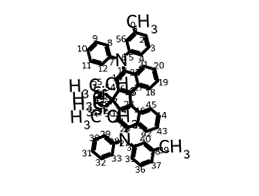 Cc1cccc(N(c2ccccc2)c2cc3c(c4ccccc24)-c2c(cc(N(c4ccccc4)c4cccc(C)c4)c4ccccc24)C3([Si](C)(C)C)[Si](C)(C)C)c1